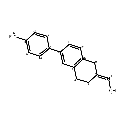 ON=C1CCc2cc(-c3ccc(C(F)(F)F)cc3)ccc2C1